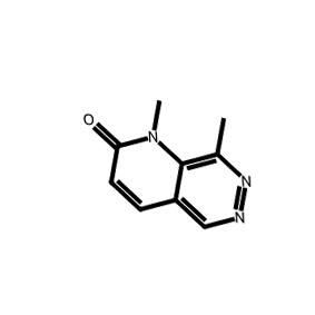 Cc1nncc2ccc(=O)n(C)c12